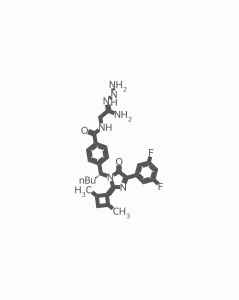 CCCC[C@H](c1ccc(C(=O)NC/C(N)=N/NN)cc1)N1C(=O)C(c2cc(F)cc(F)c2)=NC1=C1C(C)CC1C